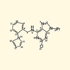 CC(C)n1cnc2c(NCc3ccccc3-n3cccc3)nc(Cl)nc21